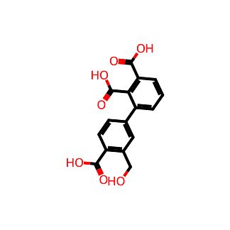 O=C(O)c1ccc(-c2cccc(C(=O)O)c2C(=O)O)cc1CO